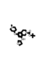 CN1CCC(Oc2cc3c(c(N[C@@H]4CCOC4)c2)CN(C(=O)OC(C)(C)C)CC3)CC1